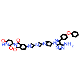 Nc1ncnc2c1c(-c1ccc(Oc3ccccc3)cc1)nn2C1CC2CC1CN2C1CN(C2CN(c3ccc4c(c3)C(=O)N(C3CCC(=O)NC3=O)C4=O)C2)C1